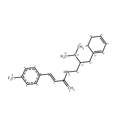 C=C(/C=C/c1ccc(C(F)(F)F)cc1)NCC(CC1=CC=CCC1)N(C)C